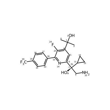 CC(C)(O)c1cc([C@@](O)(CN)C2CC2)nc(-c2ccc(C(F)(F)F)cc2)c1F